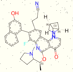 C[C@H](Oc1nc2c(F)c(-c3cc(O)cc4ccccc34)c(CCC#N)cc2c2c1c(=O)ccn2[C@H]1[C@H]2CN[C@@H]1C2)C1CCCN1C